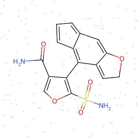 NC(=O)c1coc(S(N)(=O)=O)c1-c1c2c(cc3c1=CCO3)=CC=C2